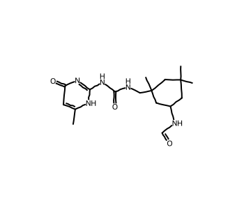 Cc1cc(=O)nc(NC(=O)NCC2(C)CC(NC=O)CC(C)(C)C2)[nH]1